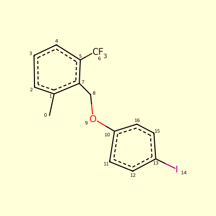 Cc1cccc(C(F)(F)F)c1COc1ccc(I)cc1